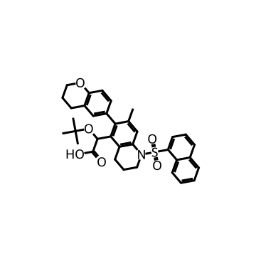 Cc1cc2c(c(C(OC(C)(C)C)C(=O)O)c1-c1ccc3c(c1)CCCO3)CCCN2S(=O)(=O)c1cccc2ccccc12